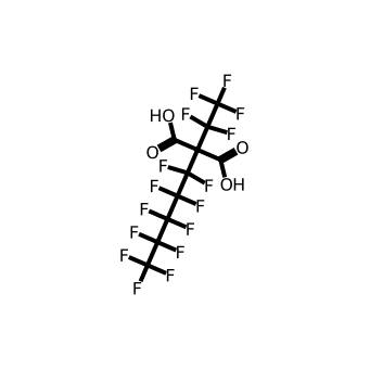 O=C(O)C(C(=O)O)(C(F)(F)C(F)(F)F)C(F)(F)C(F)(F)C(F)(F)C(F)(F)C(F)(F)F